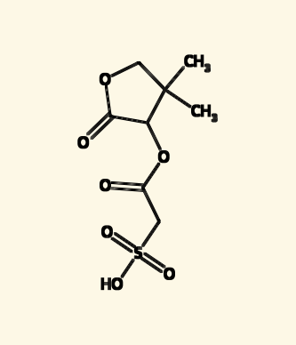 CC1(C)COC(=O)C1OC(=O)CS(=O)(=O)O